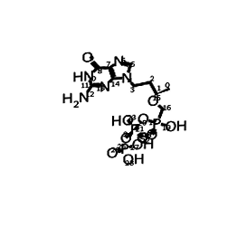 C[C@H](CCn1cnc2c(=O)[nH]c(N)nc21)OCP(=O)(O)OP(=O)(O)OP(=O)(O)O